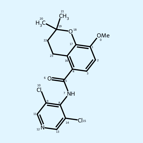 COc1ccc(C(=O)Nc2c(Cl)cncc2Cl)c2c1OC(C)(C)CC2